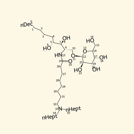 CCCCCCCCCCCCCC[C@@H](O)[C@@H](O)[C@H](CO[C@H]1OC(CO)[C@H](O)[C@H](O)[C@H]1O)NC(=O)CCCCCCCN(CCCCCCC)CCCCCCC